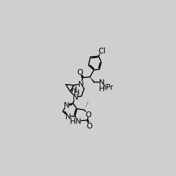 CC(C)NC[C@@H](C(=O)N1CCN(c2ncnc3c2[C@H](C)OC(=O)N3)[C@H]2C[C@H]21)c1ccc(Cl)cc1